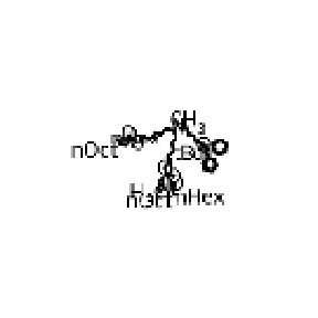 CCCCCCCCC(CCCCCC)CC(=O)OCCCCCC(CCCCCOC(=O)CN(C)C(=O)C(CCCCCC)CCCCCCCC)N(C)CCCCO[Si](c1ccccc1)(c1ccccc1)C(C)(C)C